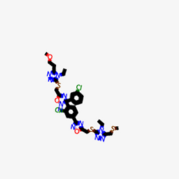 CCn1c(CCOC)nnc1SCC1=NC(c2cccc(Cl)c2)(c2ccc(-c3noc(CSc4nnc(CSC)n4CC)n3)cc2Cl)NO1